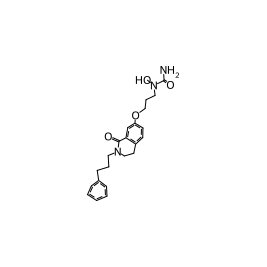 NC(=O)N(O)CCCOc1ccc2c(c1)C(=O)N(CCCc1ccccc1)CC2